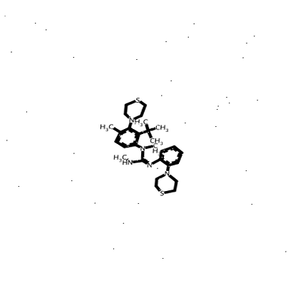 CNC(=Nc1ccccc1N1CCSCC1)N(C)c1ccc(C)c(N2CCSCC2)c1C(C)(C)C